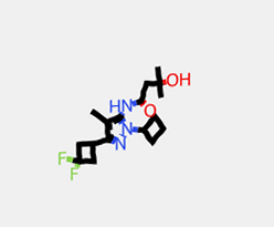 Cc1c(C2CC(F)(F)C2)nn(C2CCC2)c1NC(=O)CC(C)(C)O